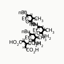 CCCCC(CC)CC(C)C(N)=O.CCCCC(CC)CC(C)C(N)=O.CCCCC(CC)CC(C)C(N)=O.O=C(O)CC(CC(=O)O)C(=O)O